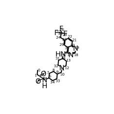 CCS(=O)(=O)NC1CCC(CN2CCC(Nc3ncnc4ccc(CC(F)(F)F)cc34)CC2)CC1